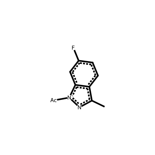 CC(=O)n1nc(C)c2ccc(F)cc21